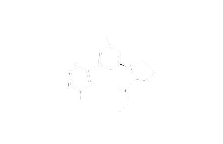 CC(C)(C)OC(=O)N1OCC[C@@H]1c1cc(F)cc(-c2cccc(F)c2)c1